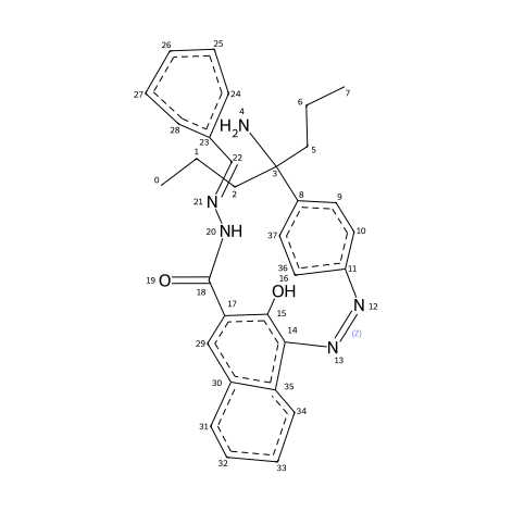 CCCC(N)(CCC)c1ccc(/N=N\c2c(O)c(C(=O)NN=Cc3ccccc3)cc3ccccc23)cc1